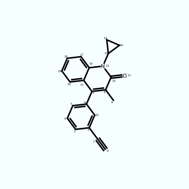 C#Cc1cccc(-c2c(C)c(=O)n(C3CC3)c3ccccc23)c1